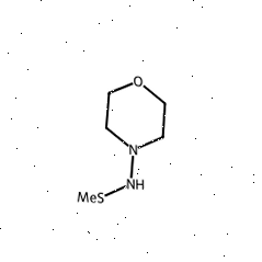 CSNN1CCOCC1